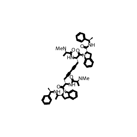 CN[C@@H](C)C(=O)N[C@@H](CC#CC#CC[C@H](NC(=O)[C@H](C)NC)C(=O)N1c2ccccc2C[C@H]1C(C)N[C@H](C)c1ccccc1)C(=O)N1c2ccccc2C[C@H]1C(=O)N[C@H](C)c1ccccc1